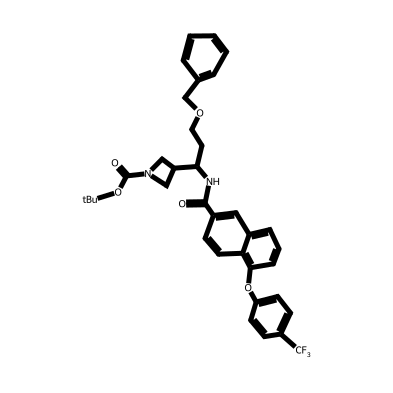 CC(C)(C)OC(=O)N1CC(C(CCOCc2ccccc2)NC(=O)c2ccc3c(Oc4ccc(C(F)(F)F)cc4)cccc3c2)C1